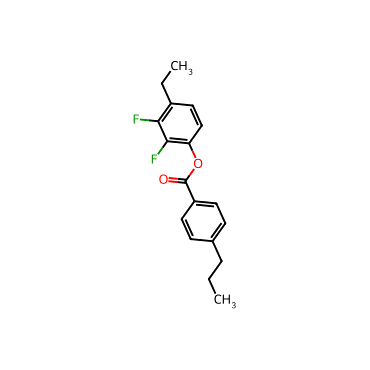 CCCc1ccc(C(=O)Oc2ccc(CC)c(F)c2F)cc1